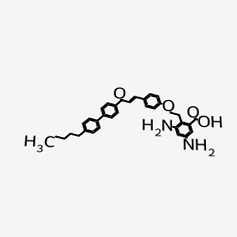 CCCCCc1ccc(-c2ccc(C(=O)C=Cc3ccc(OCCc4c(N)cc(N)cc4C(=O)O)cc3)cc2)cc1